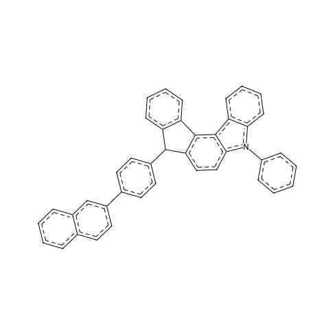 c1ccc(-n2c3ccccc3c3c4c(ccc32)C(c2ccc(-c3ccc5ccccc5c3)cc2)c2ccccc2-4)cc1